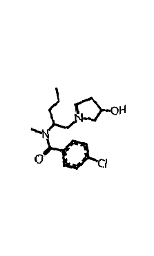 CCCC(CN1CCC(O)C1)N(C)C(=O)c1ccc(Cl)cc1